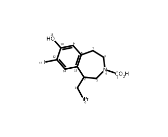 CC(C)CC1CN(C(=O)O)CCc2cc(O)c(I)cc21